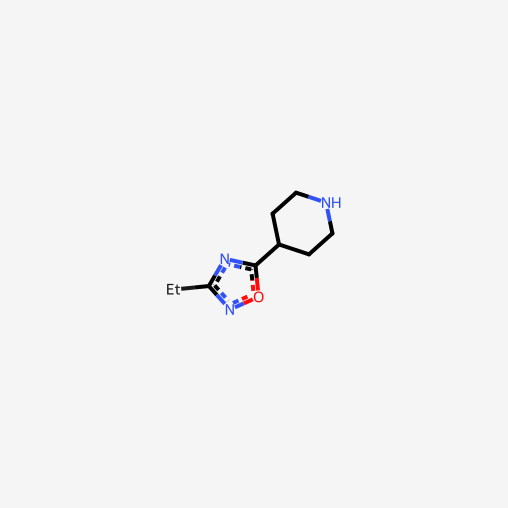 CCc1noc(C2CCNCC2)n1